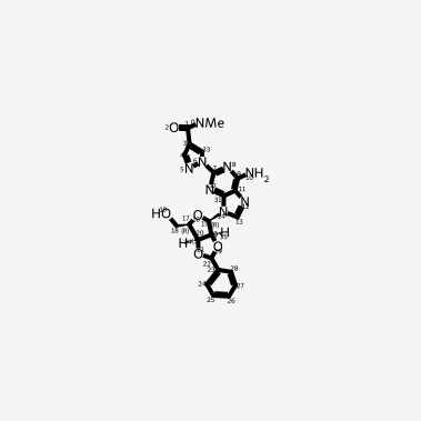 CNC(=O)c1cnn(-c2nc(N)c3ncn([C@@H]4O[C@H](CO)[C@@H]5OC(c6ccccc6)O[C@@H]54)c3n2)c1